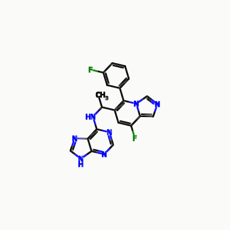 CC(Nc1ncnc2[nH]cnc12)c1cc(F)c2cncn2c1-c1cccc(F)c1